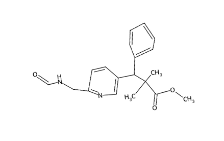 COC(=O)C(C)(C)C(c1ccccc1)c1ccc(CNC=O)nc1